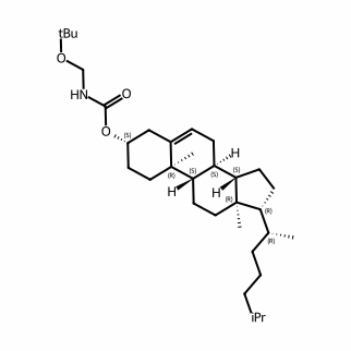 CC(C)CCC[C@@H](C)[C@H]1CC[C@H]2[C@@H]3CC=C4C[C@@H](OC(=O)NCOC(C)(C)C)CC[C@]4(C)[C@H]3CC[C@]12C